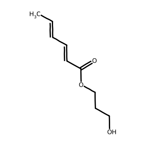 C/C=C/C=C/C(=O)OCCCO